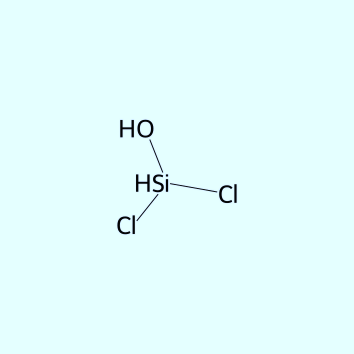 O[SiH](Cl)Cl